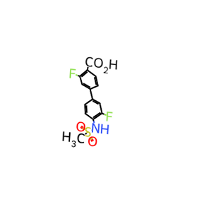 CS(=O)(=O)Nc1ccc(-c2ccc(C(=O)O)c(F)c2)cc1F